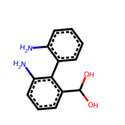 Nc1ccccc1-c1c(N)cccc1C(O)O